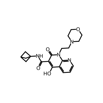 O=C(NC12CC(C1)C2)c1c(O)c2cccnc2n(CCN2CCOCC2)c1=O